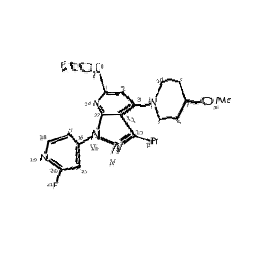 CCOC(=O)c1cc(N2CCC(OC)CC2)c2c(C(C)C)nn(-c3ccnc(F)c3)c2n1